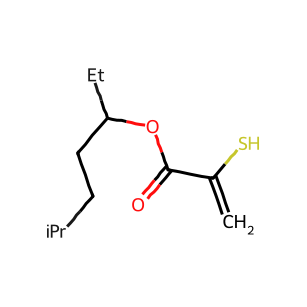 C=C(S)C(=O)OC(CC)CCC(C)C